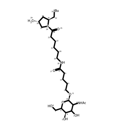 CC(=O)NC1C(O)[C@@H](O)C(CO)O[C@H]1OCCCCC(=O)NCCCCCC(=O)N1C[C@H](C)C[C@H]1CC(C)(C)C